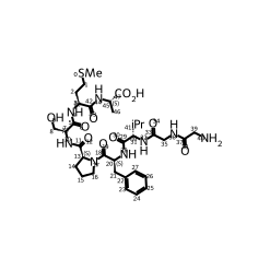 CSCC[C@H](NC(=O)[C@H](CO)NC(=O)[C@@H]1CCCN1C(=O)[C@H](Cc1ccccc1)NC(=O)[C@@H](NC(=O)CNC(=O)CN)C(C)C)C(=O)N[C@@H](C)C(=O)O